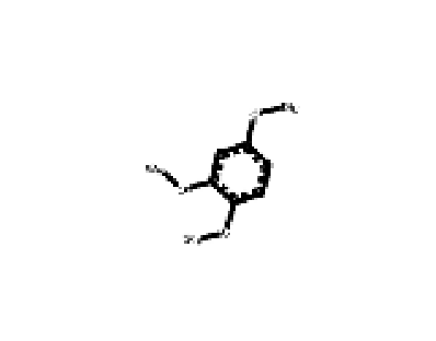 CC(C)(C)Oc1ccc(OC(C)(C)C)c(OC(C)(C)C)c1